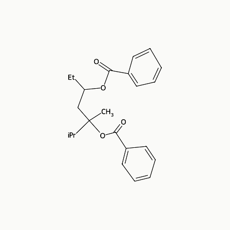 CCC(CC(C)(OC(=O)c1ccccc1)C(C)C)OC(=O)c1ccccc1